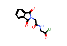 O=C(Cl)CNC(=O)CN1C(=O)c2ccccc2C1=O